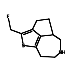 FCc1sc2c3c1CCC3CNCC2